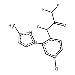 Cc1ccn(-c2cc(Cl)ccc2C(F)C(=O)C(F)F)n1